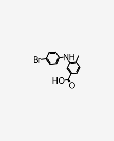 Cc1ccc(C(=O)O)cc1Nc1ccc(Br)cc1